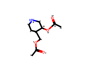 CC(=O)OCC1CCNCC1OC(C)=O